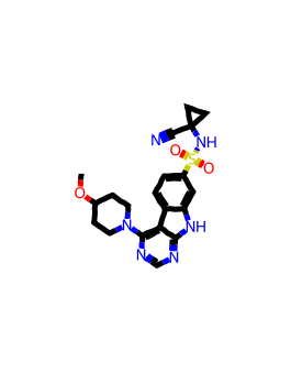 COC1CCN(c2ncnc3[nH]c4cc(S(=O)(=O)NC5(C#N)CC5)ccc4c23)CC1